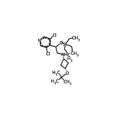 CC[Si](CC)(CC)OC(CN[C@H]1C[C@@H](OC(C)(C)C)C1)c1c(Cl)cncc1Cl